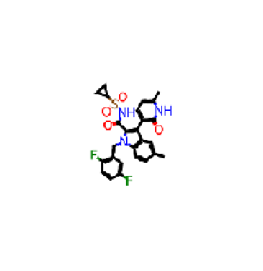 Cc1ccc2c(c1)c(-c1ccc(C)[nH]c1=O)c(C(=O)NS(=O)(=O)C1CC1)n2Cc1cc(F)ccc1F